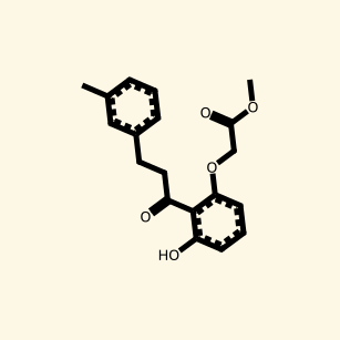 COC(=O)COc1cccc(O)c1C(=O)CCc1cccc(C)c1